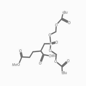 COC(=O)CCC(CP(=O)(OCOC(=O)C(C)(C)C)OCOC(=O)C(C)(C)C)C(=O)OC